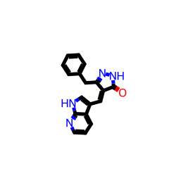 O=C1NN=C(Cc2ccccc2)C1=Cc1c[nH]c2ncccc12